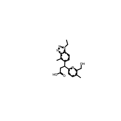 CCn1nnc2c(C)c(C(CC(=O)O)c3ccc(C)c(CO)n3)ccc21